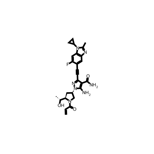 C=CC(=O)N1C[C@@H](n2nc(C#Cc3cc4nc(C)n(C5CC5)c4cc3F)c(C(N)=O)c2N)C[C@@H]1[C@@H](C)O